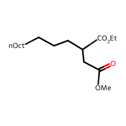 CCCCCCCCCCCC(CC(=O)OC)C(=O)OCC